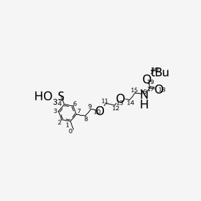 Cc1ccc(S(=O)(=O)O)cc1CCOCCOCCNC(=O)OC(C)(C)C